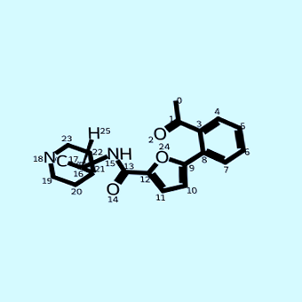 CC(=O)c1ccccc1-c1ccc(C(=O)N[C@H]2CN3CCC2CC3)o1